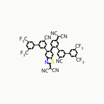 N#CC(C#N)=c1cc/c(=c2/cc3sc(=C(C#N)C#N)nc3cc2-c2cc(C#N)cc(-c3cc(C(F)(F)F)cc(C(F)(F)F)c3)c2)c(-c2cc(C#N)cc(-c3cc(C(F)(F)F)cc(C(F)(F)F)c3)c2)c1